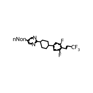 CCCCCCCCCc1cnc(C2CCC(c3cc(F)c(/C=C/C(F)(F)F)c(F)c3)CC2)nc1